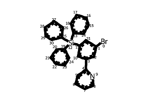 Brc1cc(-c2ccccn2)cc([Si](c2ccccc2)(c2ccccc2)c2ccccc2)c1